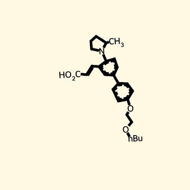 CCCCOCCOc1ccc(-c2ccc(N3CCCC3C)c(C=CC(=O)O)c2)cc1